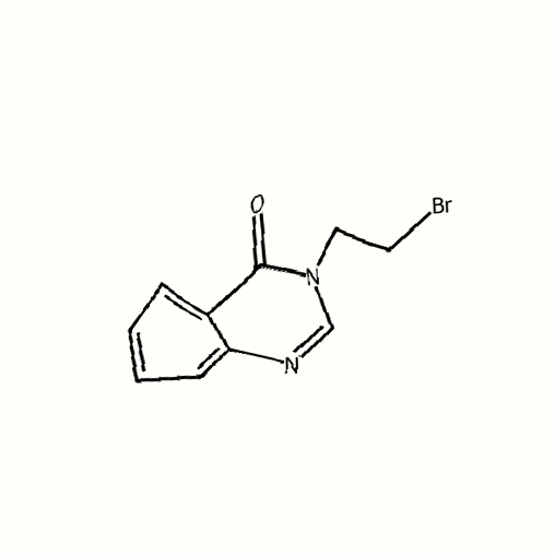 O=c1c2ccccc2ncn1CCBr